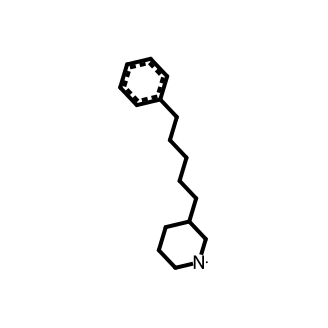 c1ccc(CCCCCC2CCC[N]C2)cc1